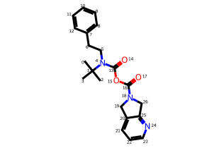 CC(C)(C)N(CCc1ccccc1)C(=O)OC(=O)N1Cc2cccnc2C1